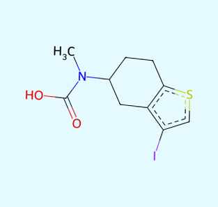 CN(C(=O)O)C1CCc2scc(I)c2C1